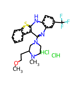 COCCC1CN(C2=Nc3cc(C(F)(F)F)ccc3Nc3sc4ccccc4c32)CCN1C.Cl.Cl